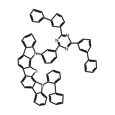 c1ccc(-c2cccc(-c3nc(-c4cccc(-c5ccccc5)c4)nc(-c4cccc(-n5c6ccccc6c6ccc7c8ccc9c%10ccccc%10n(-c%10ccccc%10-c%10ccccc%10)c9c8sc7c65)c4)n3)c2)cc1